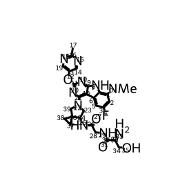 CNc1cc(F)cc2c1[nH]c1nc(Oc3cnc(C)nc3)nc(N3CC(NC(=O)CNC(=O)[C@@H](N)CO)C4(CC4)C3)c12